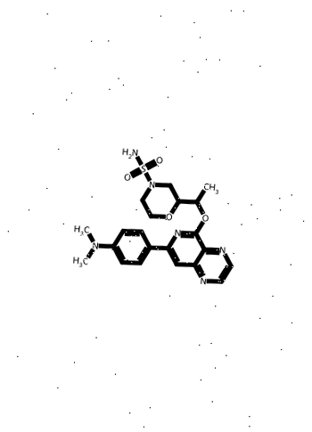 CC(Oc1nc(-c2ccc(N(C)C)cc2)cc2nccnc12)C1CN(S(N)(=O)=O)CCO1